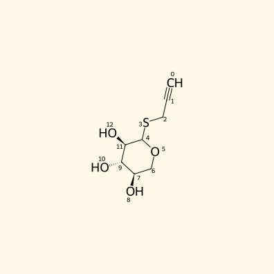 C#CCSC1OC[C@@H](O)[C@H](O)[C@H]1O